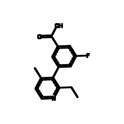 CCc1nccc(C)c1-c1cc(F)cc(C(=O)O)c1